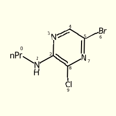 CCCNc1ncc(Br)nc1Cl